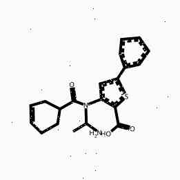 CC(N)N(C(=O)C1CC=CCC1)c1cc(-c2ccccc2)sc1C(=O)O